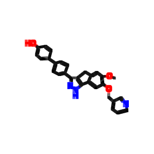 COc1cc2c(cc1OCc1cccnc1)-c1[nH]nc(-c3ccc(-c4ccc(O)cc4)cc3)c1C2